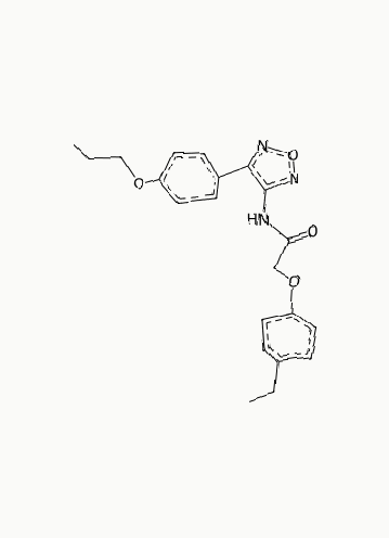 CCCOc1ccc(-c2nonc2NC(=O)COc2ccc(CC)cc2)cc1